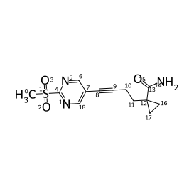 CS(=O)(=O)c1ncc(C#CCCC2(C(N)=O)CC2)cn1